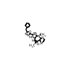 C[C@H]1[C@H]2c3nccnc3N(C)C(=O)[C@@H](NC(=O)c3nnc(Cc4ccccc4)o3)[C@@H]12